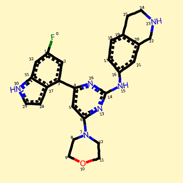 Fc1cc(-c2cc(N3CCOCC3)nc(Nc3ccc4c(c3)CNCC4)n2)c2cc[nH]c2c1